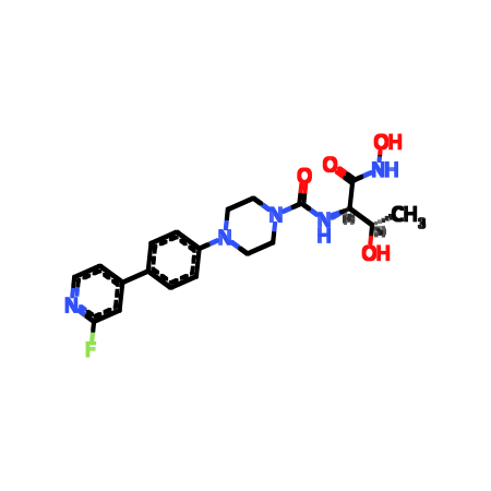 C[C@H](O)[C@@H](NC(=O)N1CCN(c2ccc(-c3ccnc(F)c3)cc2)CC1)C(=O)NO